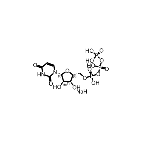 O=c1ccn([C@@H]2O[C@H](COP(=O)(O)OP(=O)(O)OP(=O)(O)O)[C@@H](O)[C@H]2O)c(=O)[nH]1.[NaH]